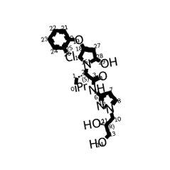 CC(C)C[C@@H](C(=O)Nc1ccn(C[C@@H](O)CO)n1)N1CC(Oc2ccccc2Cl)=CC1O